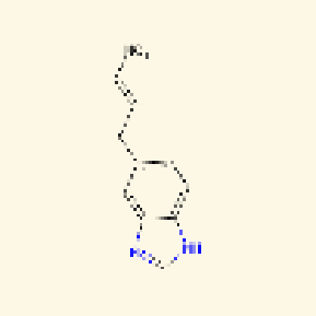 O=[N+]([O-])C=CCc1ccc2[nH]cnc2c1